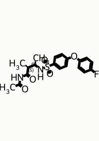 CC(=O)NC(=O)[C@@H](C)[C@@H](C)NS(=O)(=O)c1ccc(Oc2ccc(F)cc2)cc1